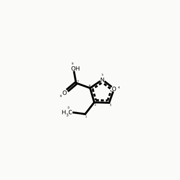 CCc1conc1C(=O)O